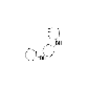 B(C1CCCCCCC1)C1CCCC(BC2CCCCCCC2)CCC1